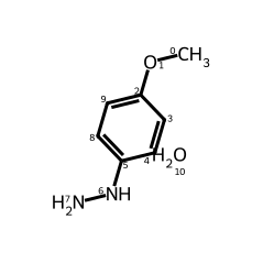 COc1ccc(NN)cc1.O